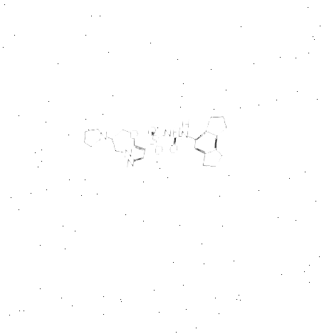 O=C(Nc1cc2c(c3c1CCC3)CCC2)NS(=O)(=O)c1cnn2c1OCC(N1CCCC1)C2